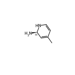 CC1=C[C@@H](N)NC=C1